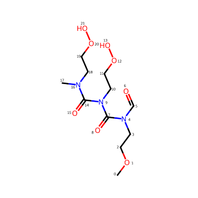 COCCN(C=O)C(=O)N(CCOO)C(=O)N(C)CCOO